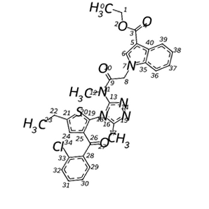 CCOC(=O)c1cn(CC(=O)N(C)c2nnc(C)n2-c2sc(CC)cc2C(=O)c2ccccc2Cl)c2ccccc12